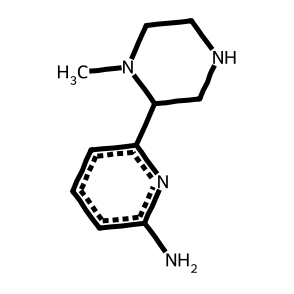 CN1CCNCC1c1cccc(N)n1